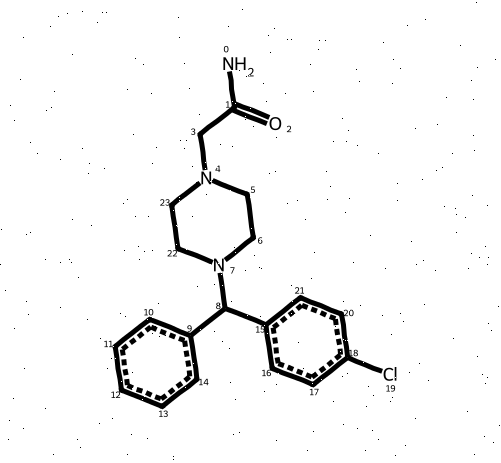 NC(=O)CN1CCN(C(c2ccccc2)c2ccc(Cl)cc2)CC1